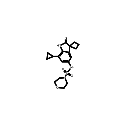 O=C1Nc2c(C3CC3)cc(NS(=O)(=O)N3CCOCC3)cc2C12CCC2